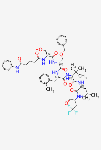 Cc1ccccc1C[C@H](NC(=O)[C@@H](COCc1ccccc1)NC(=O)[C@H](CO)NC(=O)CCCC(=O)Nc1ccccc1)C(=O)N[C@H](C(=O)N[C@@H](CC(C)C)C(=O)NC(C=O)CC(F)(F)F)C(C)(C)C